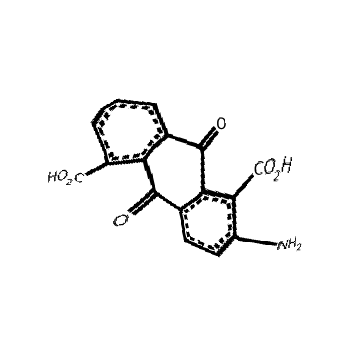 Nc1ccc2c(c1C(=O)O)C(=O)c1cccc(C(=O)O)c1C2=O